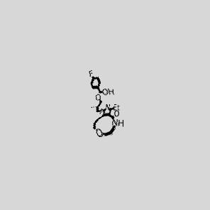 CCc1nn(C[C@H](C)COC(O)c2ccc(F)cc2)c2c1C(=O)NCCCOCCC2